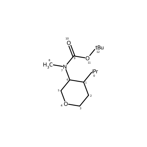 CC(C)C1CCOCC1N(C)C(=O)OC(C)(C)C